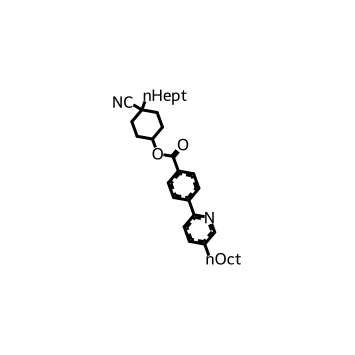 CCCCCCCCc1ccc(-c2ccc(C(=O)OC3CCC(C#N)(CCCCCCC)CC3)cc2)nc1